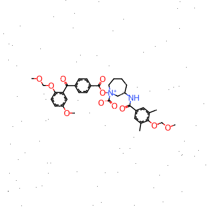 COCOc1ccc(OC)cc1C(=O)c1ccc(C(=O)O[N+]2(C(=O)[O-])CCCCC(NC(=O)c3cc(C)c(OCOC)c(C)c3)C2)cc1